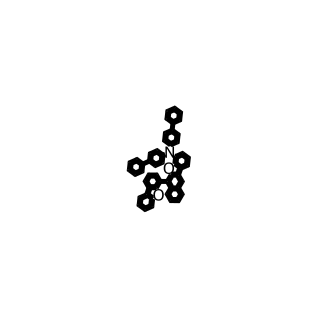 c1ccc(-c2ccc(N(c3ccc(-c4ccccc4)cc3)c3cccc4c3oc3c(-c5cccc6c5oc5ccccc56)c5ccccc5cc34)cc2)cc1